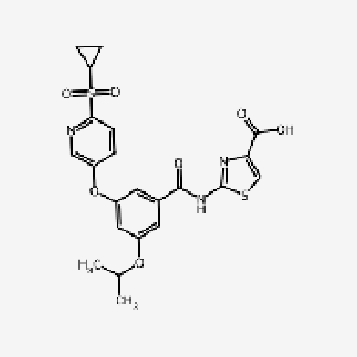 CC(C)Oc1cc(Oc2ccc(S(=O)(=O)C3CC3)nc2)cc(C(=O)Nc2nc(C(=O)O)cs2)c1